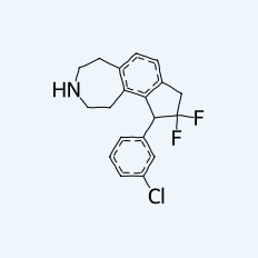 FC1(F)Cc2ccc3c(c2C1c1cccc(Cl)c1)CCNCC3